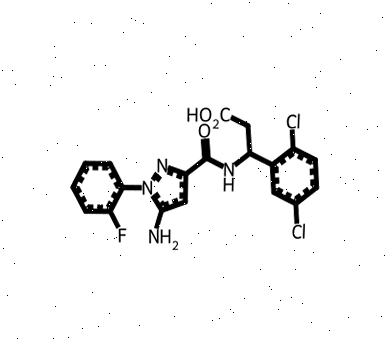 Nc1cc(C(=O)NC(CC(=O)O)c2cc(Cl)ccc2Cl)nn1-c1ccccc1F